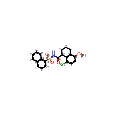 CCOc1ccc(Br)c2c1CCCC2C(=O)NS(=O)(=O)c1cccc2ccccc12